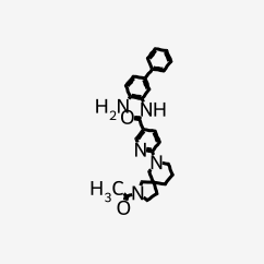 CC(=O)N1CCC2(CCCN(c3ccc(C(=O)Nc4cc(-c5ccccc5)ccc4N)cn3)C2)C1